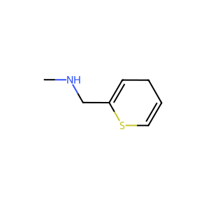 CNCC1=CCC=CS1